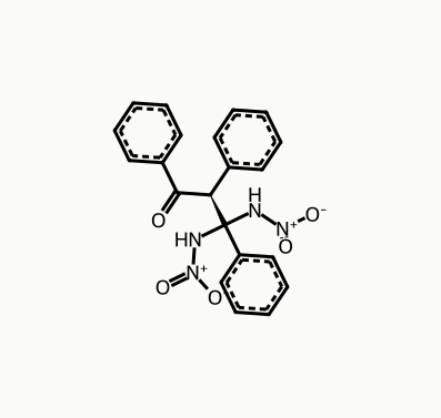 O=C(c1ccccc1)[C@@H](c1ccccc1)C(N[N+](=O)[O-])(N[N+](=O)[O-])c1ccccc1